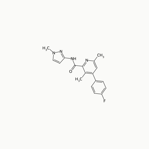 Cc1cc(-c2ccc(F)cc2)c(C)c(C(=O)Nc2ccn(C)n2)n1